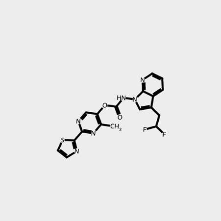 Cc1nc(-c2nccs2)ncc1OC(=O)Nn1cc(CC(F)F)c2cccnc21